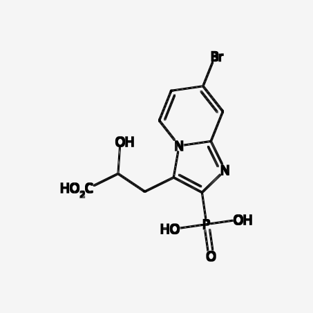 O=C(O)C(O)Cc1c(P(=O)(O)O)nc2cc(Br)ccn12